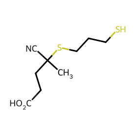 CC(C#N)(CCC(=O)O)SCCCS